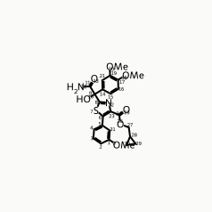 COc1cccc(-c2sc(C(O)(C(N)=O)c3ccc(OC)c(OC)c3)nc2C(=O)OCC2CC2)c1